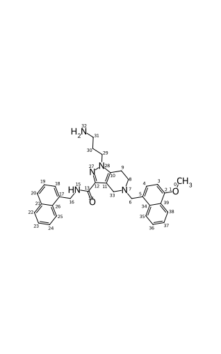 COc1ccc(CN2CCc3c(c(C(=O)NCc4cccc5ccccc45)nn3CCCN)C2)c2ccccc12